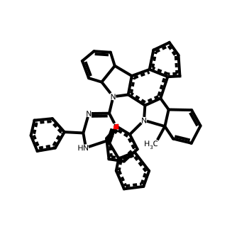 CC12C=CC=CC1c1c(c3c(c4ccccc14)C1C=CC=CC1N3C1=NC(c3ccccc3)NC(c3ccccc3)=N1)N2c1ccccc1